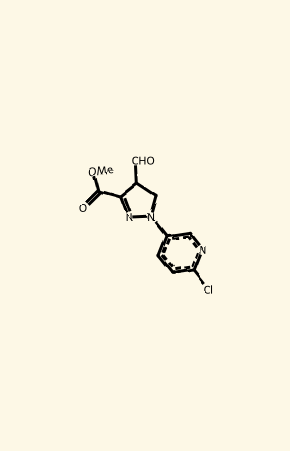 COC(=O)C1=NN(c2ccc(Cl)nc2)CC1C=O